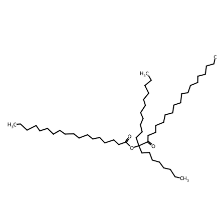 CCCCCCCCCCCCCCCCCC(=O)OC(CCCCCCCC)(CCCCCCCCCCC)C(=O)CCCCCCCCCCCCCCCCC